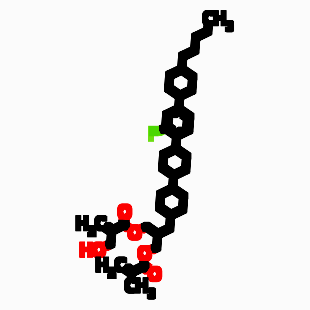 C=C(C)C(=O)OCC(COC(=O)C(=C)CO)CC1CCC(C2CCC(c3ccc(C4CCC(CCCCC)CC4)cc3F)CC2)CC1